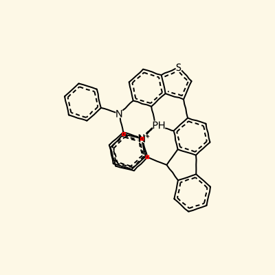 c1ccc(N2c3ccc4scc5c4c3[PH]3(c4c-5ccc5c4C(c4ccccc4-5)c4cccc[n+]43)[n+]3ccccc32)cc1